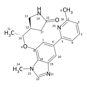 Cc1cccc(-c2cc(O[C@H](C)[C@H]3CNC(=O)C3)c3c(c2)ncn3C)n1